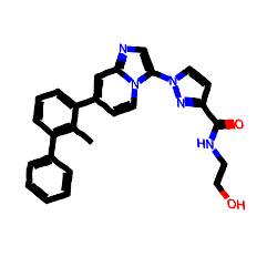 Cc1c(-c2ccccc2)cccc1-c1ccn2c(-n3ccc(C(=O)NCCO)n3)cnc2c1